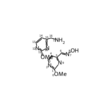 COc1nccc(C=NO)n1.COc1nccc(CN)n1